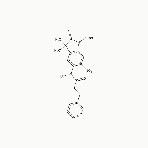 CCCCCN1C(=O)C(C)(C)c2cc(N(CC)C(=O)CCc3ccccc3)c([N+](=O)[O-])cc21